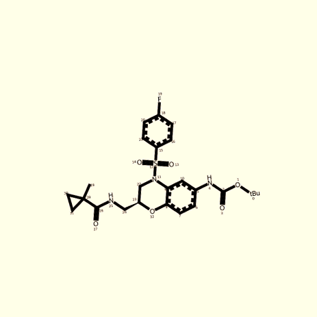 CC(C)(C)OC(=O)Nc1ccc2c(c1)N(S(=O)(=O)c1ccc(F)cc1)C[C@H](CNC(=O)C1(C)CC1)O2